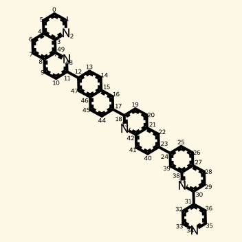 c1cnc2c(c1)ccc1ccc(-c3ccc4cc(-c5ccc6cc(-c7ccc8ccc(-c9ccncc9)nc8c7)ccc6n5)ccc4c3)nc12